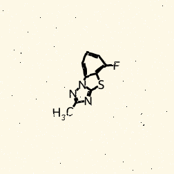 Cc1nc2sc3c(F)cccc3n2n1